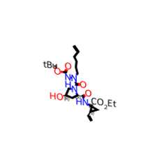 C=CCCCCN(NC(=O)OC(C)(C)C)C(=O)N1C[C@H](O)C[C@H]1C(=O)N[C@]1(C(=O)OCC)C[C@H]1C=C